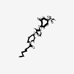 CCCCCC(=O)N1CCC(Oc2ncnc(Oc3ccc(S(C)(=O)=O)cc3F)c2C)CC1